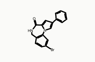 O=C1NCc2ccc(Br)cc2-n2cc(-c3ccccc3)cc21